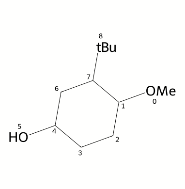 COC1CCC(O)CC1C(C)(C)C